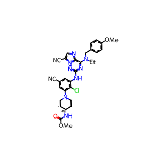 CCN(Cc1ccc(OC)cc1)c1nc(Nc2cc(C#N)cc(N3C[CH][C@@H](NC(=O)OC)CC3)c2Cl)nn2c(C#N)cnc12